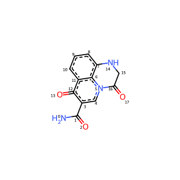 NC(=O)c1cn2c3c(cccc3c1=O)NCC2=O